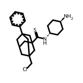 N[C@H]1CC[C@H](NC(=S)C23CC4CC(CCl)(C2)CC(c2ccccc2)(C4)C3)CC1